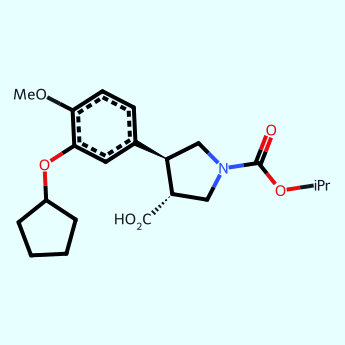 COc1ccc([C@H]2CN(C(=O)OC(C)C)C[C@@H]2C(=O)O)cc1OC1CCCC1